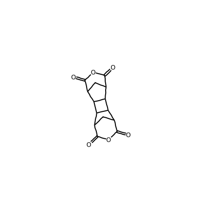 O=C1OC(=O)C2CC1C1C2C2C3CC(C(=O)OC3=O)C12